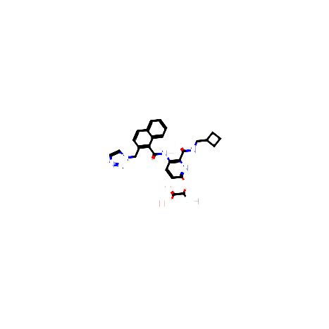 CC(Oc1ccc(NC(=O)c2c(Cn3ccnn3)ccc3ccccc23)c(C(=O)NCC2CCC2)n1)C(=O)O